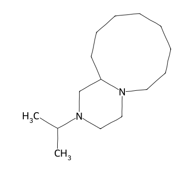 CC(C)N1CCN2CCCCCCCCC2C1